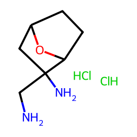 Cl.Cl.NCC1(N)CC2CCC1O2